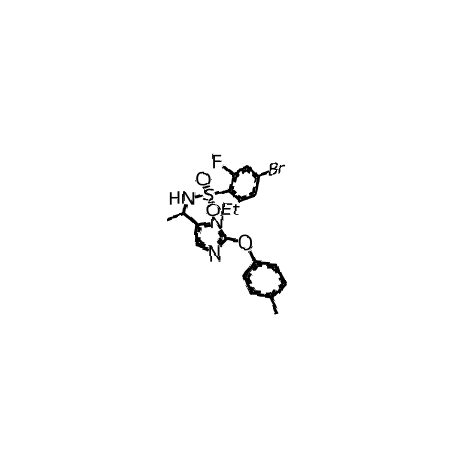 CCn1c(C(C)NS(=O)(=O)c2ccc(Br)cc2F)cnc1Oc1ccc(C)cc1